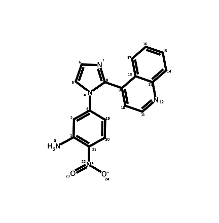 Nc1cc(-n2ccnc2-c2ccnc3ccccc23)ccc1[N+](=O)[O-]